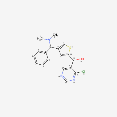 CN(C)C(c1ccccc1)c1csc(C(O)c2cncnc2Cl)c1